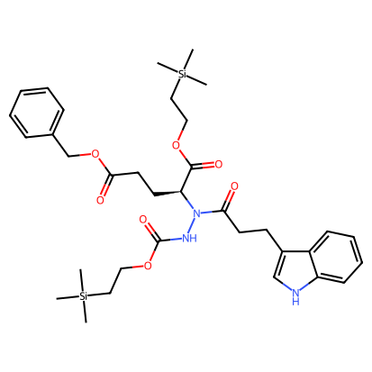 C[Si](C)(C)CCOC(=O)NN(C(=O)CCc1c[nH]c2ccccc12)[C@@H](CCC(=O)OCc1ccccc1)C(=O)OCC[Si](C)(C)C